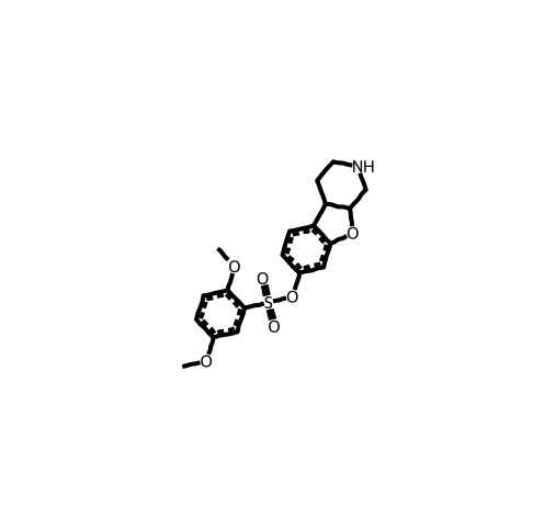 COc1ccc(OC)c(S(=O)(=O)Oc2ccc3c(c2)OC2CNCCC32)c1